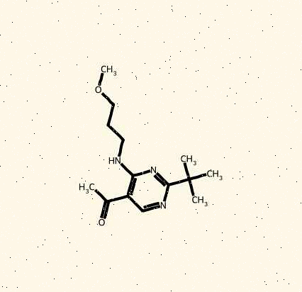 COCCCNc1nc(C(C)(C)C)ncc1C(C)=O